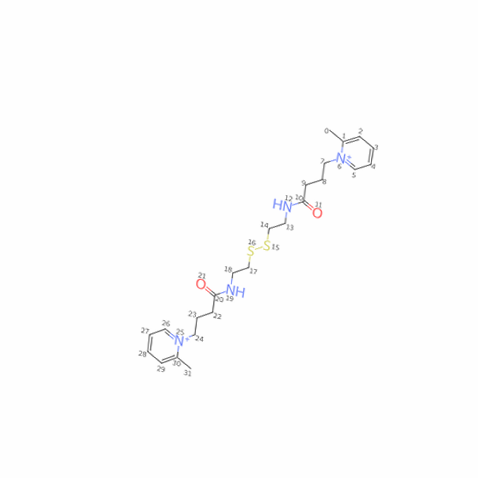 Cc1cccc[n+]1CCCC(=O)NCCSSCCNC(=O)CCC[n+]1ccccc1C